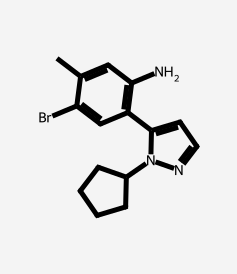 Cc1cc(N)c(-c2ccnn2C2CCCC2)cc1Br